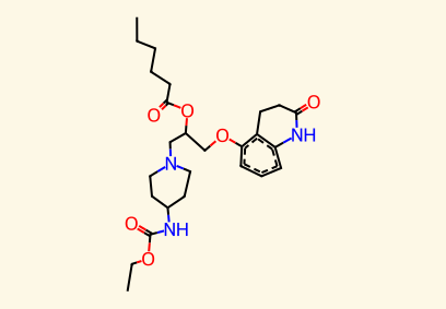 CCCCCC(=O)OC(COc1cccc2c1CCC(=O)N2)CN1CCC(NC(=O)OCC)CC1